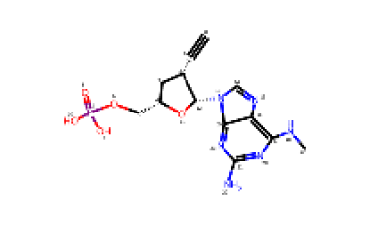 C#C[C@H]1C[C@@H](COP(=O)(O)O)O[C@H]1n1cnc2c(NC)nc(N)nc21